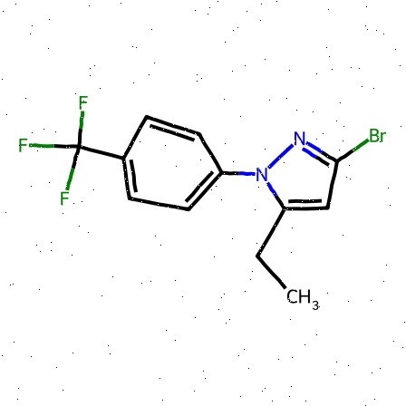 CCc1cc(Br)nn1-c1ccc(C(F)(F)F)cc1